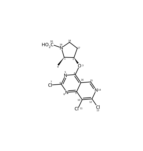 C[C@@H]1[C@H](Oc2nc(Cl)nc3c(Cl)c(Cl)ncc23)CCN1C(=O)O